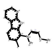 Cc1ccc2c(oc3ncccc32)c1N(/C=C\OC(C)C)C(C)C